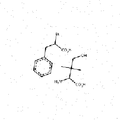 CC(C)(CO)C(N)C(=O)O.CCC(Cc1ccccc1)C(=O)O